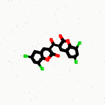 O=C(c1cc2cc(Cl)cc(Cl)c2oc1=O)c1cc2cc(Cl)cc(Cl)c2oc1=O